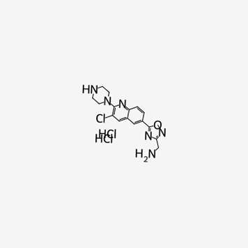 Cl.Cl.NCc1noc(-c2ccc3nc(N4CCNCC4)c(Cl)cc3c2)n1